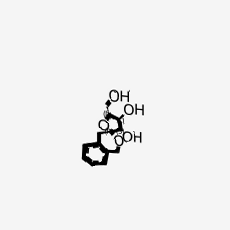 OC[C@H]1O[C@]2(Cc3ccccc3CO2)[C@@H](O)[C@@H]1O